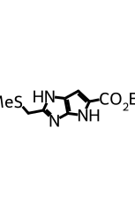 CCOC(=O)c1cc2[nH]c(CSC)nc2[nH]1